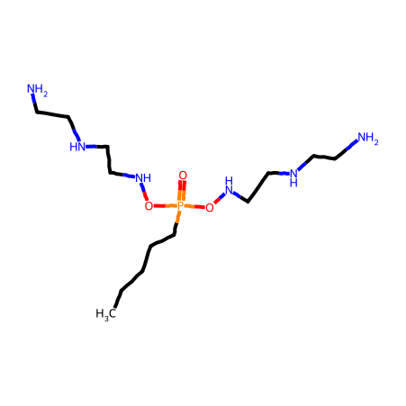 CCCCCP(=O)(ONCCNCCN)ONCCNCCN